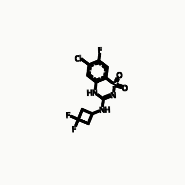 O=S1(=O)N=C(NC2CC(F)(F)C2)Nc2cc(Cl)c(F)cc21